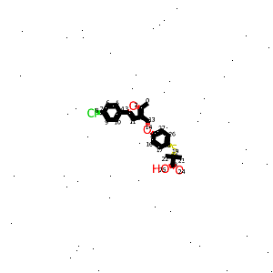 Cc1oc(-c2ccc(Cl)cc2)cc1COc1ccc(SC(C)(C)C(=O)O)cc1